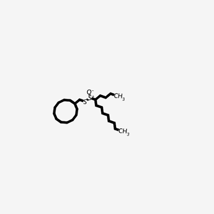 CCCCCCCCC(CCCC)[S+]([O-])SCC1CCCCCCCCCCC1